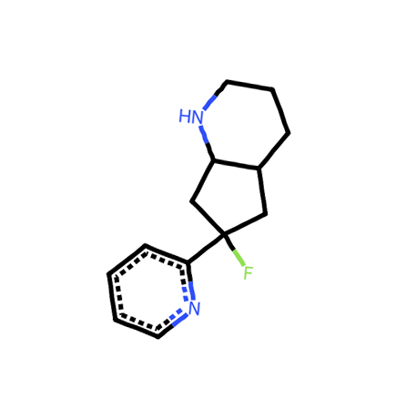 FC1(c2ccccn2)CC2CCCNC2C1